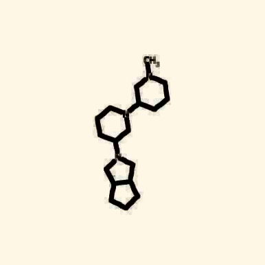 CN1CCCC(N2CCCC(N3CC4CCCC4C3)C2)C1